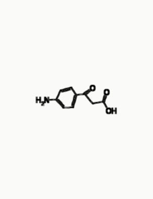 Nc1ccc(C(=O)CC(=O)O)cc1